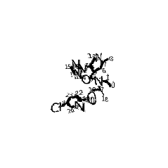 CCN(C(=O)c1cc(C)ncc1-n1nccn1)[C@@H](C)COc1ccc(Cl)cn1